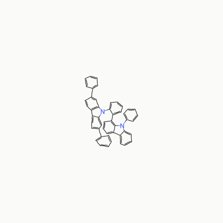 c1ccc(-c2ccc3c4ccc(-c5ccccc5)cc4n(-c4ccccc4-c4cccc5c6ccccc6n(-c6ccccc6)c45)c3c2)cc1